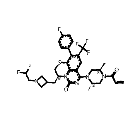 C=CC(=O)N1C[C@H](C)N(c2nc(=O)n3c4c(c(-c5ccc(F)cc5)c(C(F)(F)F)cc24)SC[C@@H]3CC2CN(CC(F)F)C2)C[C@H]1C